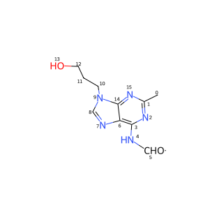 Cc1nc(N[C]=O)c2ncn(CCCO)c2n1